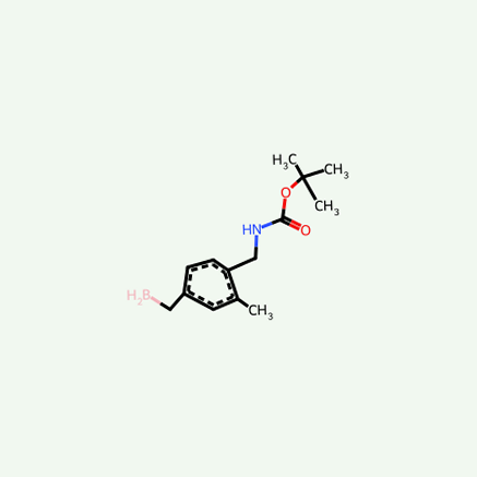 BCc1ccc(CNC(=O)OC(C)(C)C)c(C)c1